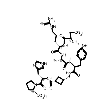 CC(C)[C@H](NC(=O)[C@H](CCCNC(=N)N)NC(=O)[C@@H](N)CC(=O)O)C(=O)NC(Cc1ccc(O)cc1)C(=O)NC[C@H]1C[C@@H](C(=O)N[C@@H](Cc2c[nH]cn2)C(=O)N2CCC[C@H]2C(=O)O)C1